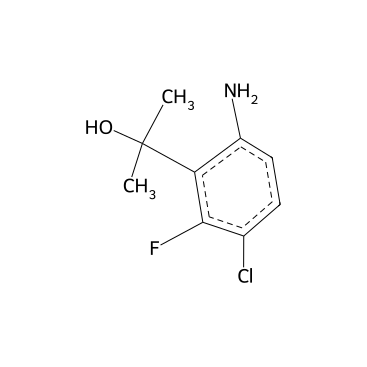 CC(C)(O)c1c(N)ccc(Cl)c1F